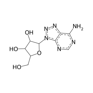 Nc1ncnc2c1nnn2C1OC(CO)C(O)C1O